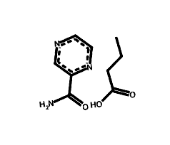 CCCC(=O)O.NC(=O)c1cnccn1